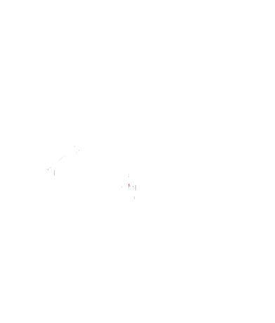 CCCCCCCCCCCCCCCCSC#C[Si](C)(C)C.CO[Si](CC(C)C)(OC)OC